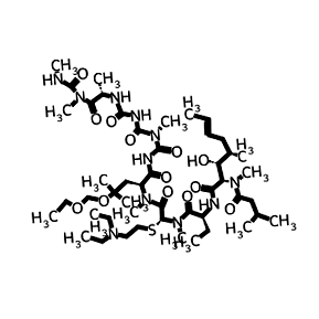 C/C=C/C[C@@H](C)[C@@H](O)[C@@H](C(=O)N[C@@H](CC)C(=O)N(C)[C@H](SCCN(CC)CC)C(=O)N(C)[C@@H](CC(C)(C)OCOCC)C(=O)NC(=O)N(C)C(=O)NC(=O)N[C@@H](C)C(=O)N(C)C(=O)NC)N(C)C(=O)CC(C)C